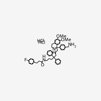 COc1cc2c(cc1OC)C(CCCC(CCCNC(=O)CCc1ccc(F)cc1)(c1ccccc1)c1ccccc1)(c1ccc(CN)cc1)NCC2.Cl.Cl